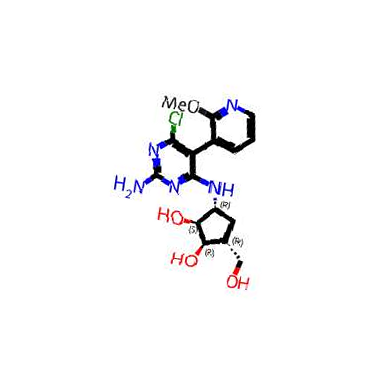 COc1ncccc1-c1c(Cl)nc(N)nc1N[C@@H]1C[C@H](CO)[C@@H](O)[C@H]1O